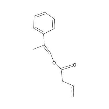 C=CCC(=O)OC=C(C)c1ccccc1